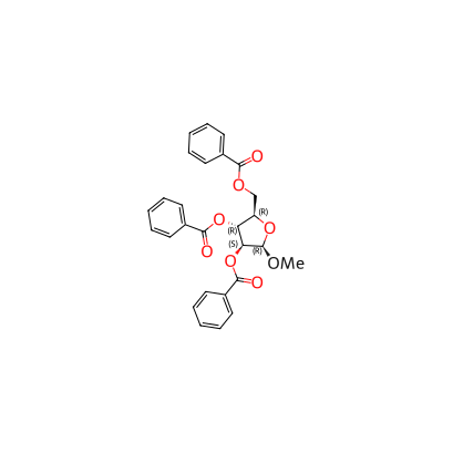 CO[C@@H]1O[C@H](COC(=O)c2ccccc2)[C@@H](OC(=O)c2ccccc2)[C@@H]1OC(=O)c1ccccc1